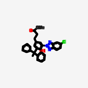 COC(=O)CCc1cc(-n2nc3ccc(Cl)cc3n2)c(O)c(C(C)(c2ccccc2)c2ccccc2)c1